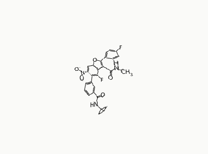 CNC(=O)c1c(-c2ccc(F)cc2)oc2cc([N+](=O)[O-])c(-c3cccc(C(=O)NC45CC4C5)c3)c(F)c12